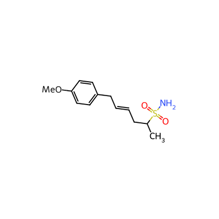 COc1ccc(CC=CCC(C)S(N)(=O)=O)cc1